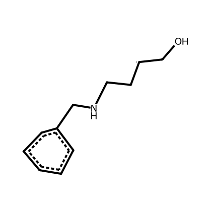 OC[CH]CCNCc1ccccc1